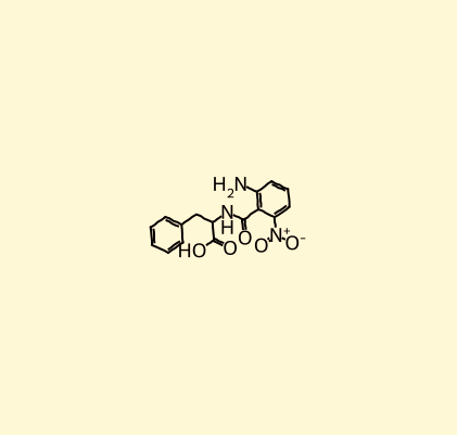 Nc1cccc([N+](=O)[O-])c1C(=O)NC(Cc1ccccc1)C(=O)O